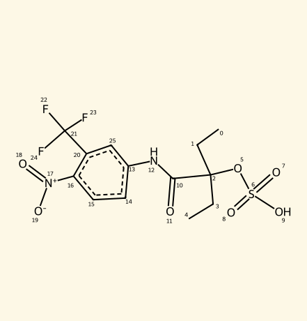 CCC(CC)(OS(=O)(=O)O)C(=O)Nc1ccc([N+](=O)[O-])c(C(F)(F)F)c1